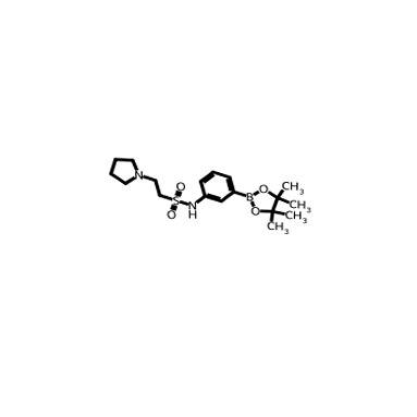 CC1(C)OB(c2cccc(NS(=O)(=O)CCN3CCCC3)c2)OC1(C)C